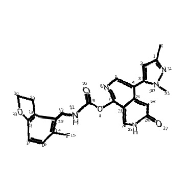 Cc1cc(-c2cnc(OC(=O)NCc3c(F)ccc4c3CCO4)c3c[nH]c(=O)cc23)n(C)n1